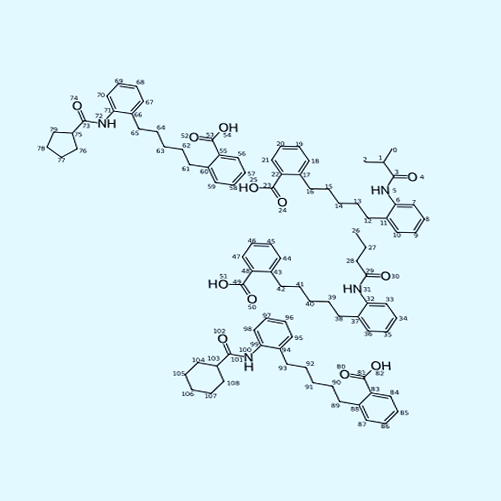 CC(C)C(=O)Nc1ccccc1CCCCCc1ccccc1C(=O)O.CCCC(=O)Nc1ccccc1CCCCCc1ccccc1C(=O)O.O=C(O)c1ccccc1CCCCCc1ccccc1NC(=O)C1CCCC1.O=C(O)c1ccccc1CCCCCc1ccccc1NC(=O)C1CCCCC1